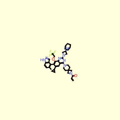 C=CC(=O)N1CC2(CCN(c3nc(N4CC(N5C6CCC5CC6)C4)nc4c(OCC(F)(F)F)c(-c5c(C)ccc6[nH]ncc56)c(C5CC5)cc34)CC2)C1